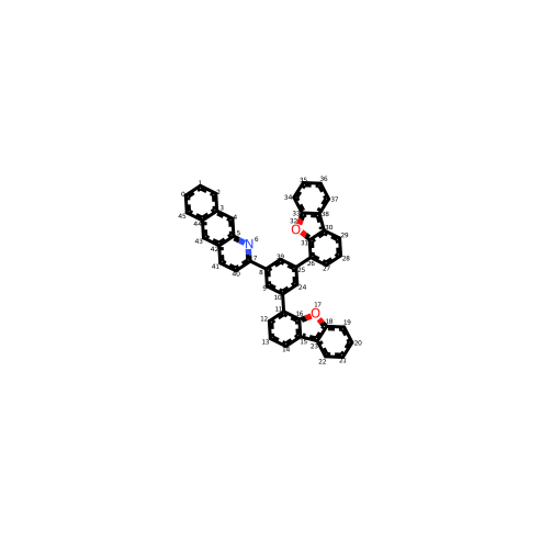 c1ccc2cc3nc(-c4cc(-c5cccc6c5oc5ccccc56)cc(-c5cccc6c5oc5ccccc56)c4)ccc3cc2c1